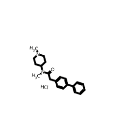 CN1CCC(N(C)C(=O)Cc2ccc(-c3ccccc3)cc2)CC1.Cl